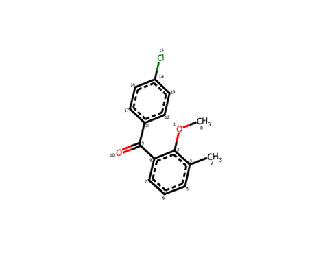 COc1c(C)cccc1C(=O)c1ccc(Cl)cc1